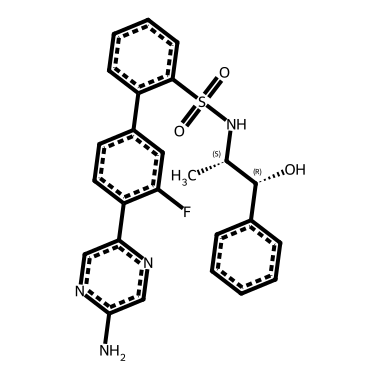 C[C@H](NS(=O)(=O)c1ccccc1-c1ccc(-c2cnc(N)cn2)c(F)c1)[C@H](O)c1ccccc1